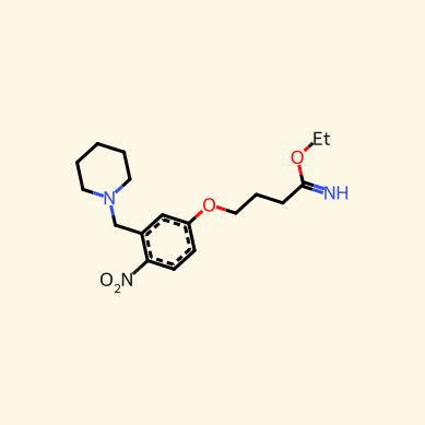 CCOC(=N)CCCOc1ccc([N+](=O)[O-])c(CN2CCCCC2)c1